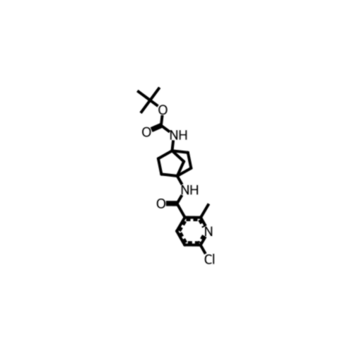 Cc1nc(Cl)ccc1C(=O)NC12CCC(NC(=O)OC(C)(C)C)(CC1)C2